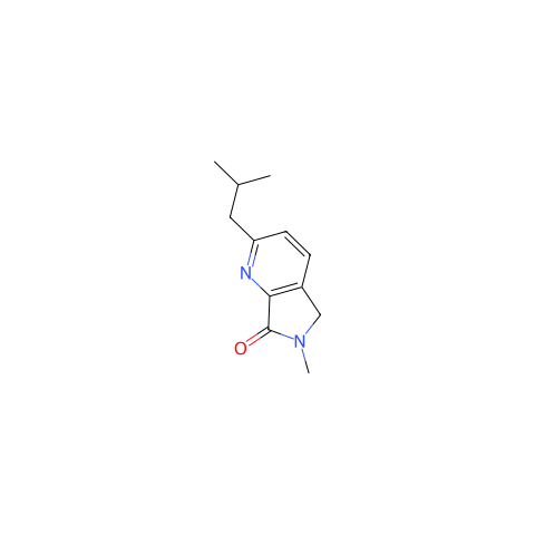 CC(C)Cc1ccc2c(n1)C(=O)N(C)C2